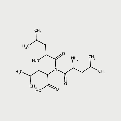 CC(C)CC(N)C(=O)N(C(=O)C(N)CC(C)C)C(CC(C)C)C(=O)O